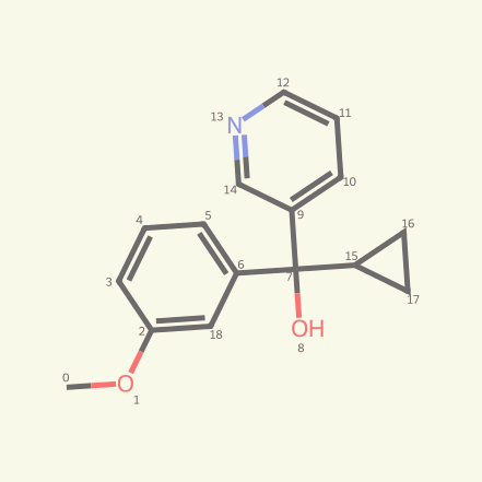 COc1cccc(C(O)(c2cccnc2)C2CC2)c1